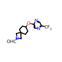 O=CN1CC2(CCC(Oc3cnc(C(F)(F)F)cn3)CC2)C1